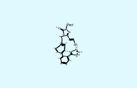 CC/C=C/c1nn(CCCCC)c(=O)n1Cc1ccc(-c2ccccc2-c2nnn[nH]2)cc1